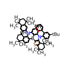 Cc1cc2c3c(c1)N1c4cc5c(cc4C4(C)CCC(C)(C)c6ccc(c1c64)B3c1sc3c(c1N2c1ccc(C(C)(C)C)cc1-c1ccccc1)C(C)(C)CCC3(C)C)C(C)(C)CCC5(C)C